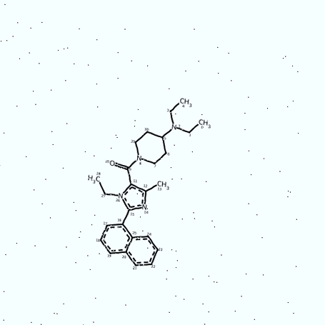 CCN(CC)C1CCN(C(=O)c2c(C)nc(-c3cccc4ccccc34)n2CC)CC1